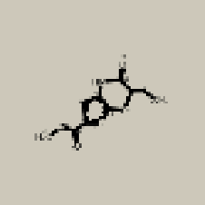 CCC1Oc2sc(C(=O)OC)cc2NC1=O